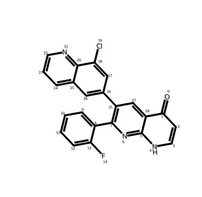 O=c1cc[nH]c2nc(-c3ccccc3F)c(-c3cc(Cl)c4ncccc4c3)cc12